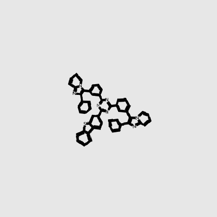 c1ccc(-c2nc3ccccn3c2-c2cccc(-c3nc(-c4cccc(-c5c(-c6ccccc6)nc6ccccn56)c4)nc(-c4ccc5c(c4)sc4ccccc45)n3)c2)cc1